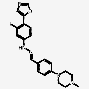 CN1CCN(c2ccc(C=NNc3ccc(-c4cnco4)c(I)c3)cc2)CC1